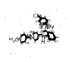 CN1CCC(N2CCC(CNc3ccccc3C(=O)Nc3ccc(Cl)cn3)CC2)CC1